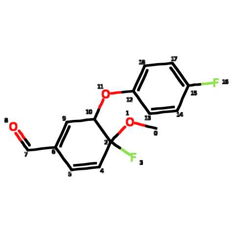 COC1(F)C=CC(C=O)=CC1Oc1ccc(F)cc1